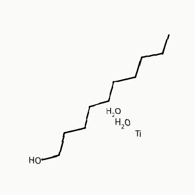 CCCCCCCCCCO.O.O.[Ti]